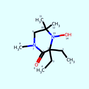 CCC1(CC)C(=O)N(C)CC(C)(C)N1O